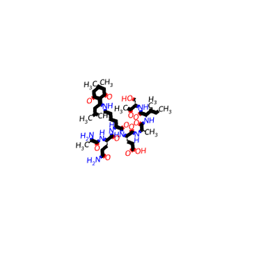 CCC(C)[C@H](NC(=O)[C@H](C)NC(=O)[C@H](CCC(=O)O)NC(=O)C(CCCCNC(CC(C)C)=C1C(=O)CC(C)(C)CC1=O)NC(=O)[C@H](CCC(N)=O)NC(=O)[C@H](C)N)C(=O)N[C@@H](CO)C(C)=O